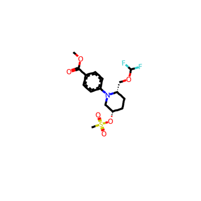 COC(=O)c1ccc(N2C[C@@H](OS(C)(=O)=O)CC[C@H]2COC(F)F)cc1